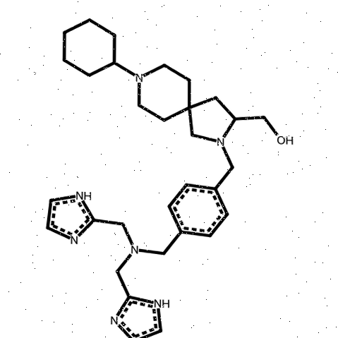 OCC1CC2(CCN(C3CCCCC3)CC2)CN1Cc1ccc(CN(Cc2ncc[nH]2)Cc2ncc[nH]2)cc1